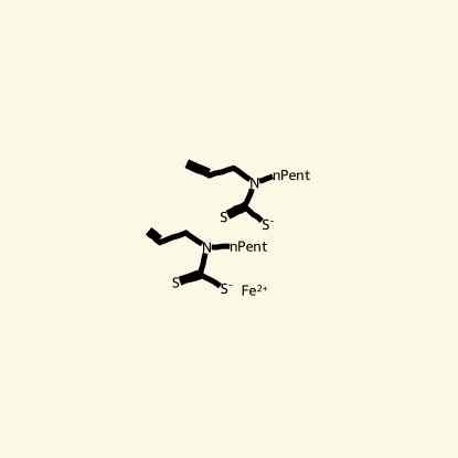 C=CCN(CCCCC)C(=S)[S-].C=CCN(CCCCC)C(=S)[S-].[Fe+2]